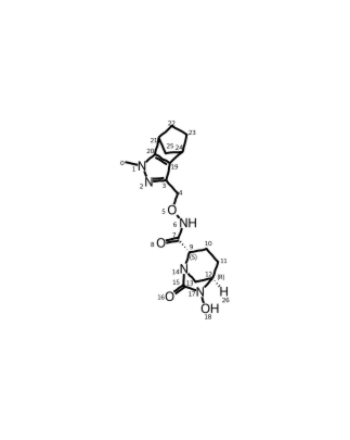 Cn1nc(CONC(=O)[C@@H]2CC[C@@H]3CN2C(=O)N3O)c2c1C1CCC2C1